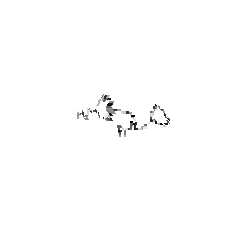 CC(C)N(Cc1ccccc1)Cc1ccc(N)cc1